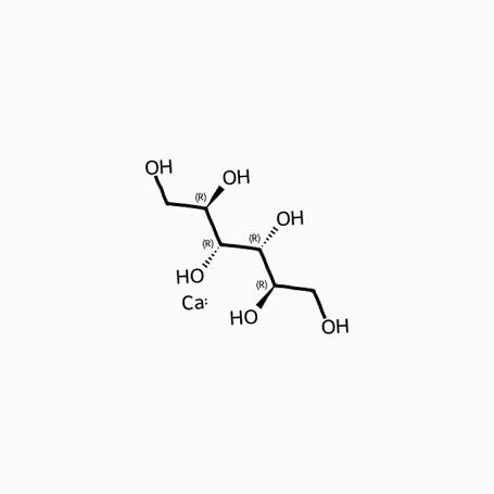 OC[C@@H](O)[C@@H](O)[C@H](O)[C@H](O)CO.[Ca]